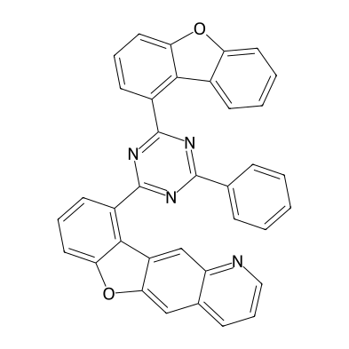 c1ccc(-c2nc(-c3cccc4oc5ccccc5c34)nc(-c3cccc4oc5cc6cccnc6cc5c34)n2)cc1